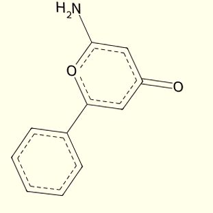 Nc1cc(=O)cc(-c2ccccc2)o1